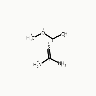 CCOC.NC(N)=S